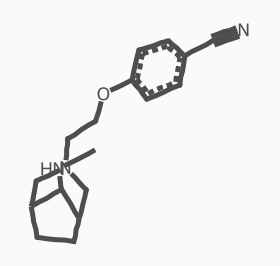 CNC1C2CCC1CN(CCOc1ccc(C#N)cc1)C2